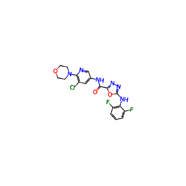 O=C(Nc1cnc(N2CCOCC2)c(Cl)c1)c1nnc(Nc2c(F)cccc2F)o1